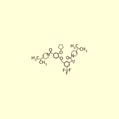 CC(C)C1=CCN(C(=O)c2ccc(OCc3cc(C(F)(F)F)cc(C4(C(=O)N5CC=C(C(C)C)CC5)CC4)c3)c(OC3CCCC3)c2)CC1